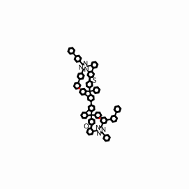 c1ccc(-c2ccc(-c3nc(-c4ccc(-c5ccccc5)cc4)nc(-c4ccccc4-c4ccc5c(c4)sc4cc(C6(c7ccccc7)c7ccccc7-c7cc(-c8ccc9c(c8)-c8ccccc8C9(c8ccccc8)c8ccc9c(c8)oc8cccc(-c%10nc(-c%11ccccc%11)nc(-c%11cccc(-c%12cccc(-c%13ccccc%13)c%12)c%11)n%10)c89)ccc76)ccc45)n3)cc2)cc1